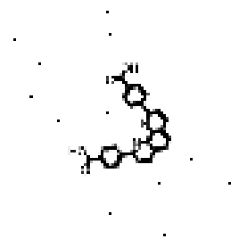 O=C(O)c1ccc(-c2ccc3ccc4ccc(-c5ccc(C(=O)O)cc5)nc4c3n2)cc1